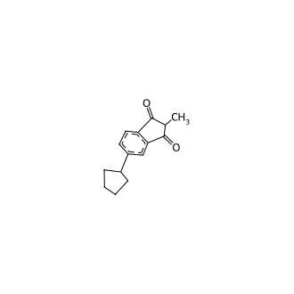 CC1C(=O)c2ccc(C3CCCC3)cc2C1=O